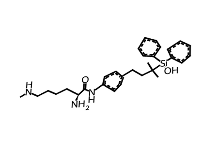 CNCCCC[C@H](N)C(=O)Nc1ccc(CCC(C)(C)[Si](O)(c2ccccc2)c2ccccc2)cc1